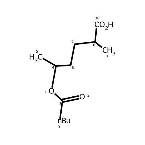 CCCCC(=O)OC(C)CCC(C)C(=O)O